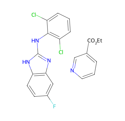 CCOC(=O)c1cccnc1.Fc1ccc2[nH]c(Nc3c(Cl)cccc3Cl)nc2c1